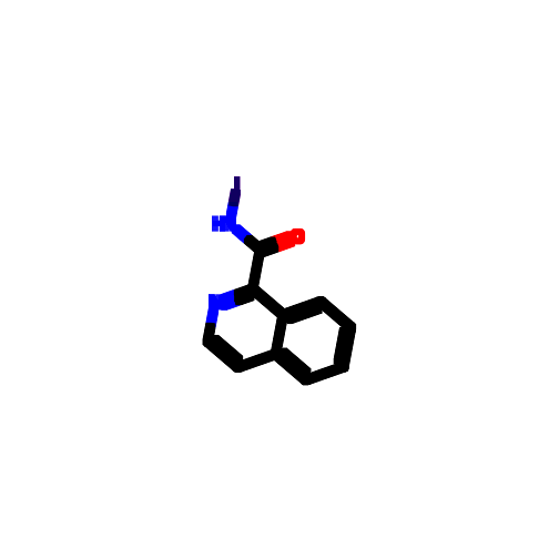 O=C(NI)c1nccc2ccccc12